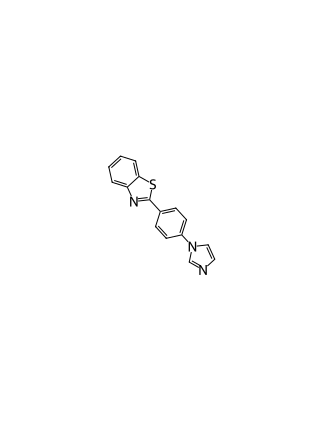 c1ccc2sc(-c3ccc(-n4ccnc4)cc3)nc2c1